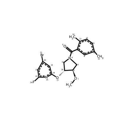 CO[C@@H]1CN(C(=O)c2cc(C)ccc2C)C[C@H]1Oc1cc(Br)cc(F)n1